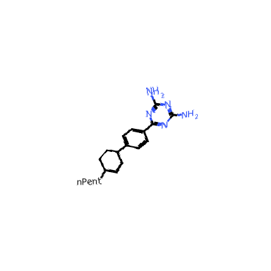 CCCCCC1CCC(c2ccc(-c3nc(N)nc(N)n3)cc2)CC1